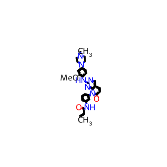 CC=CC(=O)Nc1cccc(-n2c(=O)ccc3cnc(Nc4ccc(N5CCN(C)CC5)cc4OC)nc32)c1